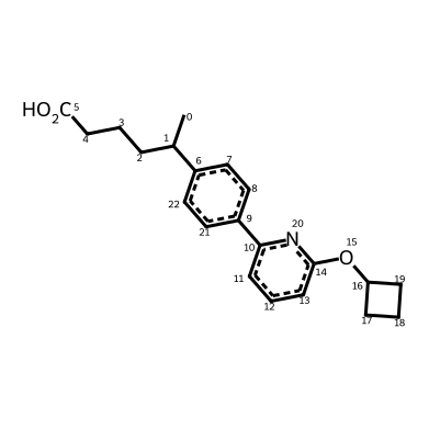 CC(CCCC(=O)O)c1ccc(-c2cccc(OC3CCC3)n2)cc1